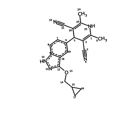 CC1=C(C#N)C(c2ccc3[nH]nc(OCC4CC4)c3c2)C(C#N)=C(C)N1